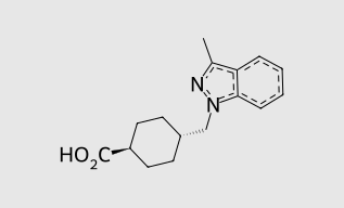 Cc1nn(C[C@H]2CC[C@H](C(=O)O)CC2)c2ccccc12